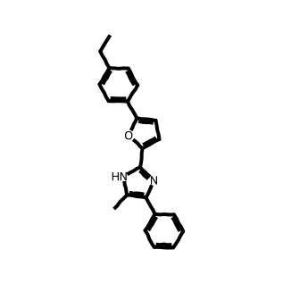 CCc1ccc(-c2ccc(-c3nc(-c4ccccc4)c(C)[nH]3)o2)cc1